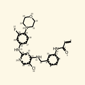 C=CC(=O)Nc1cccc(CNc2nc(Nc3ccc(N4CCOCC4)c(F)c3)ncc2Cl)c1